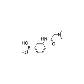 CN(C)CC(=O)Nc1cccc(B(O)O)c1